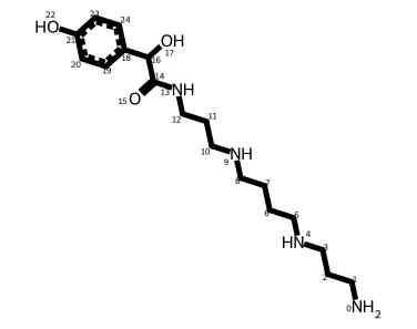 NCCCNCCCCNCCCNC(=O)C(O)c1ccc(O)cc1